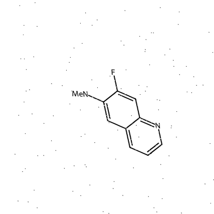 CNc1cc2cccnc2cc1F